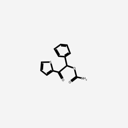 NC(=O)OC(C(=O)c1cccs1)c1ccccc1